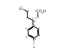 O=C(O)C[C@@H](CCBr)c1ccc(F)cc1